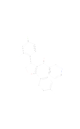 OC(C1=C(c2ccc(F)cc2)OCC1c1ccc(F)cc1F)c1cccnc1